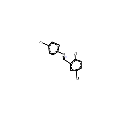 Clc1ccc(/N=C/c2cc(Cl)ccc2Cl)cc1